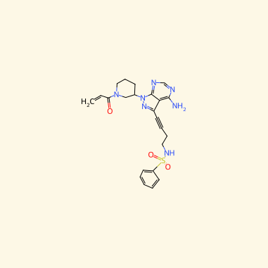 C=CC(=O)N1CCCC(n2nc(C#CCCNS(=O)(=O)c3ccccc3)c3c(N)ncnc32)C1